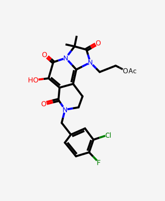 CC(=O)OCCN1C(=O)C(C)(C)n2c1c1c(c(O)c2=O)C(=O)N(Cc2ccc(F)c(Cl)c2)CC1